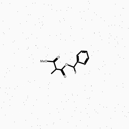 COC(=O)C(C)C(=O)OC(F)c1ccccc1